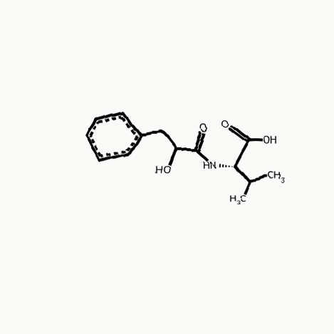 CC(C)[C@H](NC(=O)C(O)Cc1ccccc1)C(=O)O